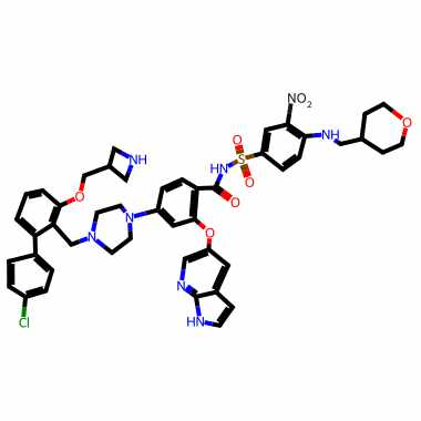 O=C(NS(=O)(=O)c1ccc(NCC2CCOCC2)c([N+](=O)[O-])c1)c1ccc(N2CCN(Cc3c(OCC4CNC4)cccc3-c3ccc(Cl)cc3)CC2)cc1Oc1cnc2[nH]ccc2c1